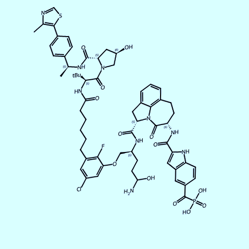 Cc1ncsc1-c1ccc([C@H](C)NC(=O)[C@@H]2C[C@@H](O)CN2C(=O)[C@@H](NC(=O)CCCCCc2cc(Cl)cc(OC[C@H](CCC(N)O)NC(=O)[C@@H]3Cc4cccc5c4N3C(=O)[C@@H](NC(=O)c3cc4cc(C(=O)P(=O)(O)O)ccc4[nH]3)CC5)c2F)C(C)(C)C)cc1